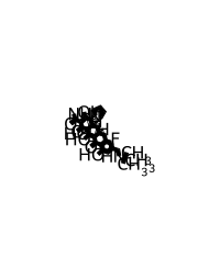 CC(C)(C)NCc1cc(O)c2c(c1F)C[C@H]1C[C@H]3[C@H](N4CCCC4)C(O)=C(C(N)=O)C(=O)[C@@]3(O)C(O)=C1C2=O